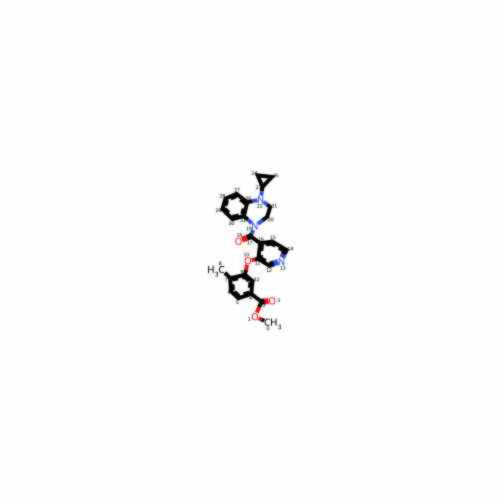 COC(=O)c1ccc(C)c(Oc2cnccc2C(=O)N2CCN(C3CC3)c3ccccc32)c1